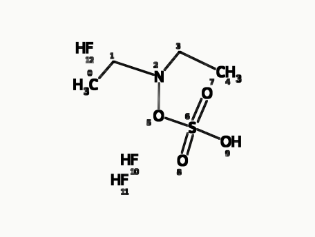 CCN(CC)OS(=O)(=O)O.F.F.F